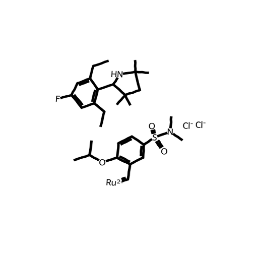 CC(C)Oc1ccc(S(=O)(=O)N(C)C)cc1[CH]=[Ru+2].CCc1cc(F)cc(CC)c1C1NC(C)(C)CC1(C)C.[Cl-].[Cl-]